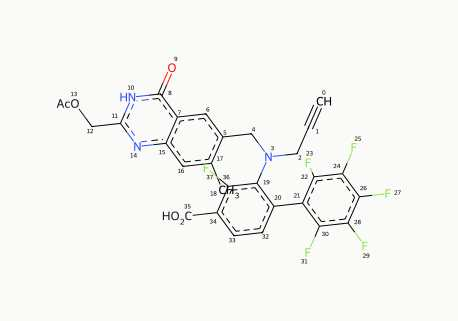 C#CCN(Cc1cc2c(=O)[nH]c(COC(C)=O)nc2cc1C)c1c(-c2c(F)c(F)c(F)c(F)c2F)ccc(C(=O)O)c1F